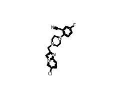 N#Cc1cc(F)ccc1N1CCN(Cc2cn3cc(Cl)ccc3n2)CC1